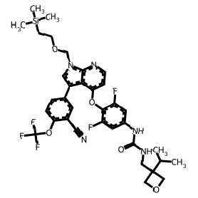 CC(C)C1(CNC(=O)Nc2cc(F)c(Oc3ccnc4c3c(-c3ccc(OC(F)(F)F)c(C#N)c3)cn4COCC[Si](C)(C)C)c(F)c2)COC1